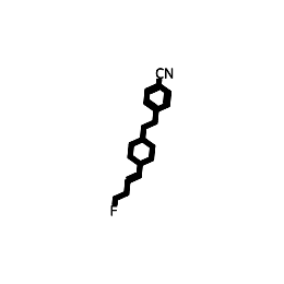 N#Cc1ccc(CCC2CCC(/C=C/CCF)CC2)cc1